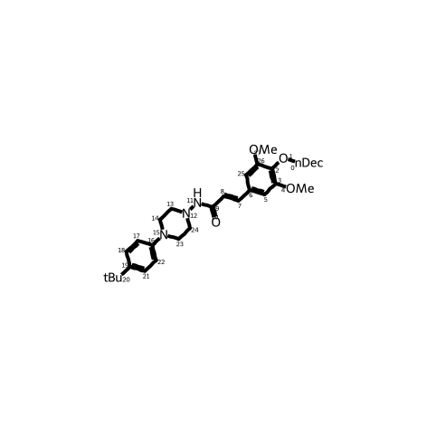 CCCCCCCCCCOc1c(OC)cc(C=CC(=O)NN2CCN(c3ccc(C(C)(C)C)cc3)CC2)cc1OC